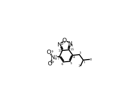 CC(C)Cc1ccc([N+](=O)[O-])c2nonc12